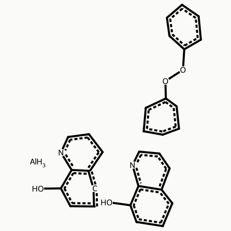 Oc1cccc2cccnc12.Oc1cccc2cccnc12.[AlH3].c1ccc(OOc2ccccc2)cc1